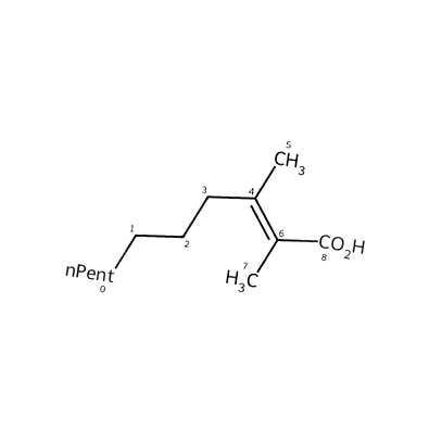 CCCCCCCCC(C)=C(C)C(=O)O